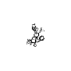 CCOC(=O)N1C2CCC1CC(N1CCC3(CC1)CN(C(=O)c1snnc1C)Cc1ccccc13)C2